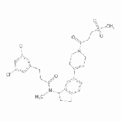 CN(C(=O)CCc1cc(Cl)cc(Cl)c1)C1CCc2ccc(C3=CCN(C(=O)CCS(C)(=O)=O)CC3)cc21